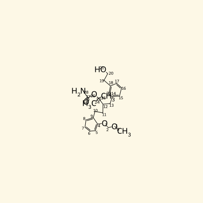 COCOc1ccccc1CCC(Cc1cccc(CCO)c1)C(C)(C)OC(N)=O